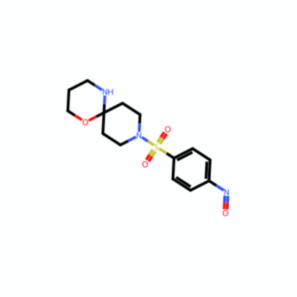 O=Nc1ccc(S(=O)(=O)N2CCC3(CC2)NCCCO3)cc1